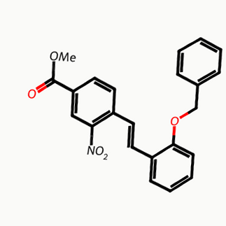 COC(=O)c1ccc(C=Cc2ccccc2OCc2ccccc2)c([N+](=O)[O-])c1